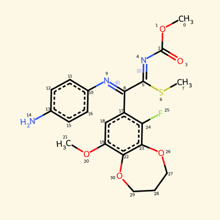 COC(=O)/N=C(SC)/C(=N/c1ccc(N)cc1)c1cc(OC)c2c(c1F)OCCCO2